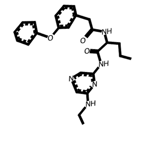 CCCC(NC(=O)Cc1cccc(Oc2ccccc2)c1)C(=O)Nc1cncc(NCC)n1